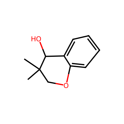 CC1(C)COc2ccccc2C1O